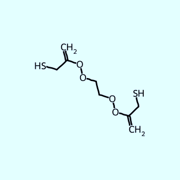 C=C(CS)OOCCOOC(=C)CS